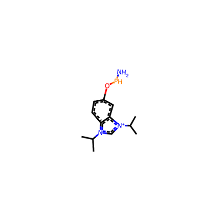 CC(C)n1c[n+](C(C)C)c2cc(OPN)ccc21